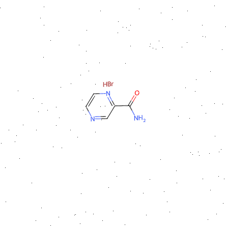 Br.NC(=O)c1cnccn1